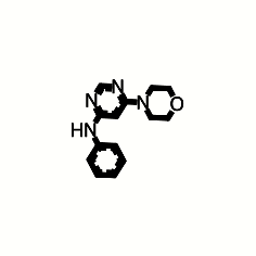 c1ccc(Nc2cc(N3CCOCC3)ncn2)cc1